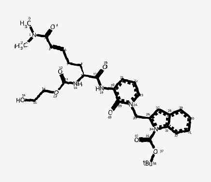 CN(C)C(=O)/C=C/CC[C@H](NC(=O)OCCO)C(=O)Nc1cccn(Cc2cc3ccccc3n2C(=O)OC(C)(C)C)c1=O